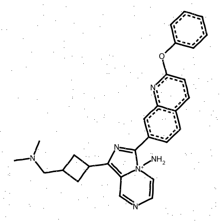 CN(C)CC1CC(C2=C3C=NC=C[N+]3(N)C(c3ccc4ccc(Oc5ccccc5)nc4c3)=N2)C1